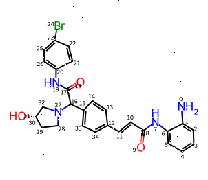 Nc1ccccc1NC(=O)/C=C/c1ccc(C(C(=O)Nc2ccc(Br)cc2)N2CC[C@H](O)C2)cc1